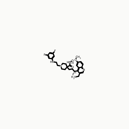 COc1ccc2ncc(CN)c([C@H](F)CCC3(C(=O)NO)CCN(CCNc4cc(F)cc(F)c4)CC3)c2c1